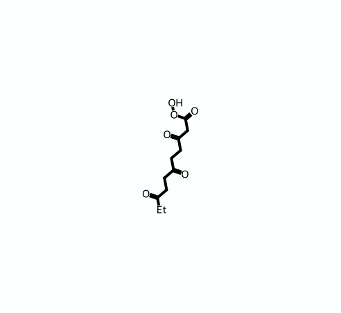 CCC(=O)CCC(=O)CCC(=O)CC(=O)OO